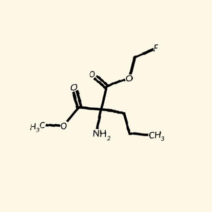 CCCC(N)(C(=O)OC)C(=O)OCF